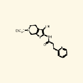 CCOC(=O)N1CCc2c(sc(NC(=O)CCc3ccccn3)c2C#N)C1